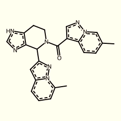 Cc1ccc2c(C(=O)N3CCc4[nH]cnc4C3c3cc4cccc(C)n4n3)cnn2c1